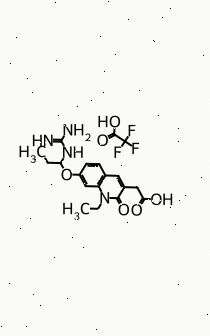 CCC(NC(=N)N)Oc1ccc2cc(CC(=O)O)c(=O)n(CC)c2c1.O=C(O)C(F)(F)F